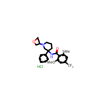 COc1cc(C(F)(F)F)cc(SC)c1C(=O)NC1(c2ccccc2)CCCN(C2COC2)C1.Cl